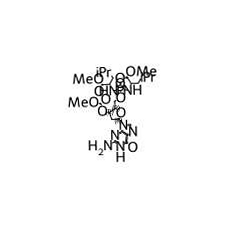 COC(=O)O[C@@H]1C[C@H](n2cnc3c(=O)[nH]c(N)nc32)O[C@@H]1COP(=O)(NC(CC(C)C)C(=O)OC)NC(CC(C)C)C(=O)OC